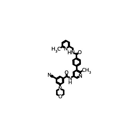 Cc1cccc(CNC(=O)c2ccc(-c3cc(NC(=O)c4cc(C#N)cc(N5CCOCC5)c4)cnc3C)cc2)n1